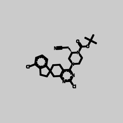 CC(C)(C)OC(=O)N1CCN(c2nc(Cl)nc3c2CCC2(CCc4c(Cl)cccc42)C3)C[C@@H]1CC#N